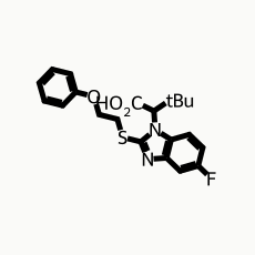 CC(C)(C)C(C(=O)O)n1c(SCCOc2ccccc2)nc2cc(F)ccc21